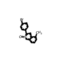 Cc1cccc2c[n+]([O-])c(-c3ccc(Br)cc3)cc12